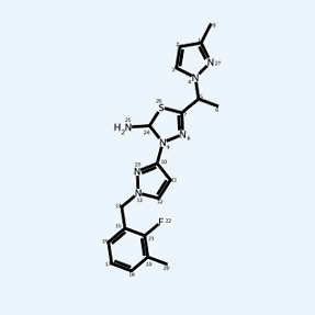 Cc1ccn(C(C)C2=NN(c3ccn(Cc4cccc(C)c4F)n3)C(N)S2)n1